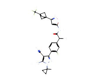 CC(C(=O)Nc1cc(C23CC(C(F)(F)F)(C2)C3)no1)c1ccc(-c2nn(C3(C)CC3)c(N)c2C#N)c(F)c1